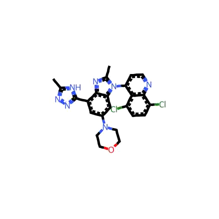 Cc1nnc(-c2cc(N3CCOCC3)cc3c2nc(C)n3-c2ccnc3c(Cl)ccc(Cl)c23)[nH]1